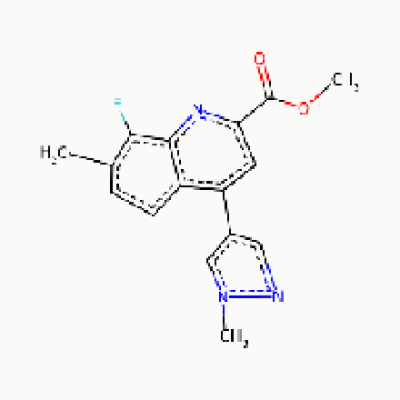 COC(=O)c1cc(-c2cnn(C)c2)c2ccc(C)c(F)c2n1